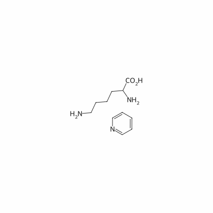 NCCCCC(N)C(=O)O.c1ccncc1